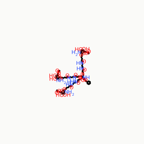 CC(=O)OCC1O[C@@H](OCCCCC(=O)NCCCNC(=O)CCOCC(COCCC(=O)NCCCNC(=O)CCCCO[C@@H]2OC(COC(C)=O)[C@H](O)[C@H](O)C2N)(COCCC(=O)NCCCNC(=O)CCCCO[C@@H]2OC(COC(C)=O)[C@H](O)C(O)[C@@H]2N)NC(=O)OCc2ccccc2)[C@@H](N)C(O)[C@H]1O